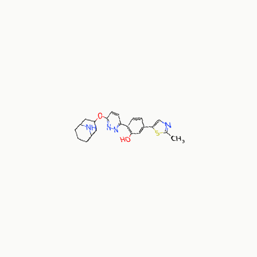 Cc1ncc(-c2ccc(-c3ccc(OC4CC5CCCC(C4)N5)nn3)c(O)c2)s1